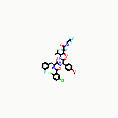 COc1ccc([C@H](NC(=O)[C@H](Cc2cccc(F)c2)NC(=O)c2cc(Cl)ccc2Cl)C(=O)N[C@H](C(=O)C(F)(F)C(=O)NCC(F)(F)F)C(C)C)cc1